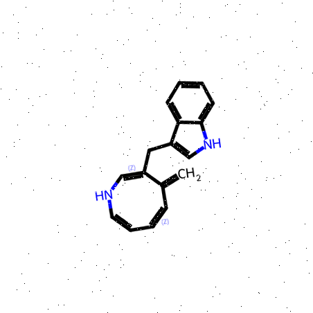 C=C1/C=C\C=CN/C=C\1Cc1c[nH]c2ccccc12